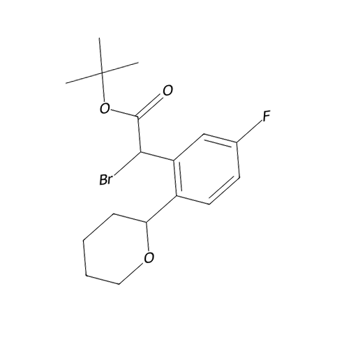 CC(C)(C)OC(=O)C(Br)c1cc(F)ccc1C1CCCCO1